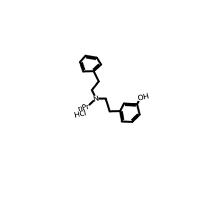 CCCN(CCc1ccccc1)CCc1cccc(O)c1.Cl